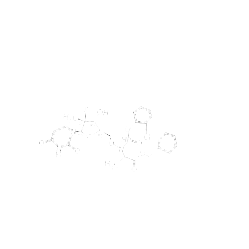 CC(C(=O)OCc1ccccc1)N(OC[C@H]1O[C@@H](n2ccc(=O)[nH]c2=O)[C@](C)(F)[C@@H]1O)[PH](=O)Oc1ccccc1Cl